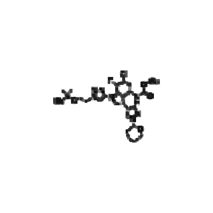 CC(C)(C)OC(=O)Nc1cc(Cl)c(F)c2c1c(-c1cnn(C3CCCCO3)c1)cn2-c1cn(CCO[Si](C)(C)C(C)(C)C)nn1